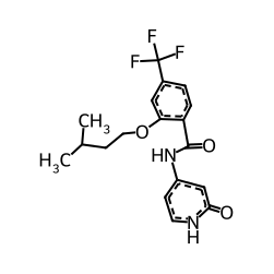 CC(C)CCOc1cc(C(F)(F)F)ccc1C(=O)Nc1cc[nH]c(=O)c1